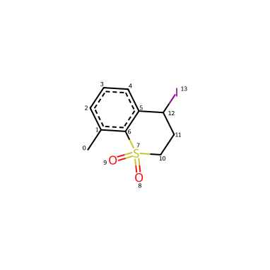 Cc1cccc2c1S(=O)(=O)CCC2I